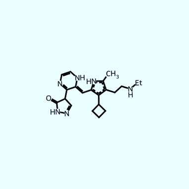 CCNCCc1c(C)[nH]c(C=C2NC=CN=C2C2C=NNC2=O)c1C1CCC1